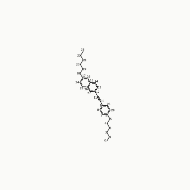 CCCCCCc1ccc(C#Cc2ccc3cc(CCCCCC)ccc3c2)cc1